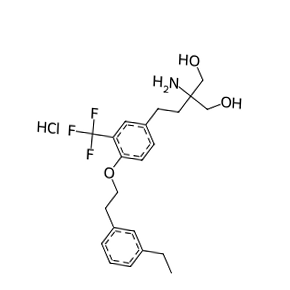 CCc1cccc(CCOc2ccc(CCC(N)(CO)CO)cc2C(F)(F)F)c1.Cl